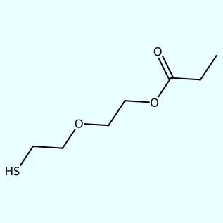 CCC(=O)OCCOCCS